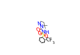 CC1(C)CC=NN1C(=O)NS(=O)(=O)c1ccccc1C(F)(F)F